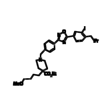 CCOC(=O)C1(CCCCOC)CCN(Cc2ccc(-c3noc(-c4ccc(CC(C)C)c(I)c4)n3)cc2)CC1